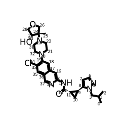 CC(C)Cn1nccc1[C@H]1C[C@@H]1C(=O)Nc1cc2cc(N3CCN([C@@]4(C)COC[C@H]4O)CC3)c(Cl)cc2cn1